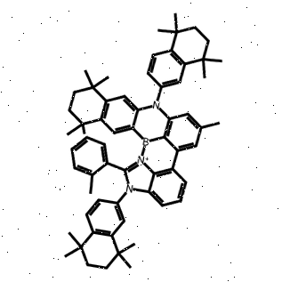 Cc1cc2c3c(c1)N(c1ccc4c(c1)C(C)(C)CCC4(C)C)c1cc4c(cc1B3[n+]1c(-c3ccccc3C)n(-c3ccc5c(c3)C(C)(C)CCC5(C)C)c3cccc-2c31)C(C)(C)CCC4(C)C